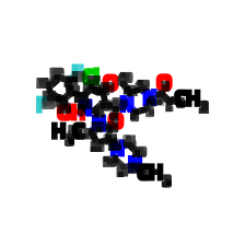 C=CC(=O)N1CCN2C(=O)c3c(N4CC(N5CCN(C)CC5)C[C@@H]4C)nc(-c4c(F)ccc(F)c4O)c(Cl)c3OCC2C1